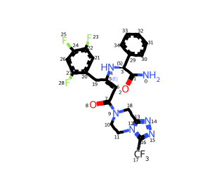 NC(=O)[C@@H](N/C(=C/C(=O)N1CCn2c(nnc2C(F)(F)F)C1)Cc1cc(F)c(F)cc1F)c1ccccc1